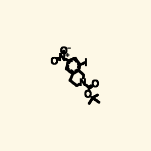 CC(C)(C)OC(=O)N1CCc2cc([N+](=O)[O-])cc(I)c2C1